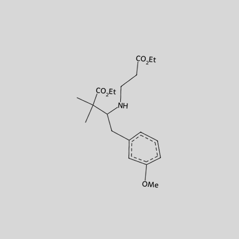 CCOC(=O)CCNC(Cc1cccc(OC)c1)C(C)(C)C(=O)OCC